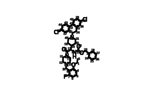 CCOc1cccc(F)c1CN1CCN(C(=O)[C@H](NC(=O)OCc2ccccc2)C2CCN(CCc3cc(Cl)ccc3-c3ccc(Cl)cc3)CC2)CC1